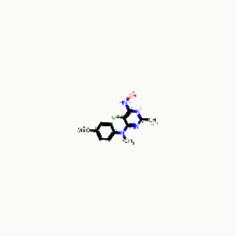 COc1ccc(N(C)c2nc(C)nc(NO)c2Cl)cc1